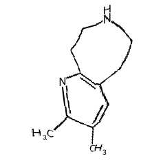 Cc1cc2c(nc1C)CCNCC2